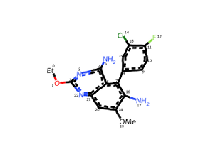 CCOc1nc(N)c2c(-c3ccc(F)c(Cl)c3)c(N)c(OC)cc2n1